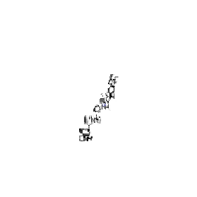 CCN(C)/C(=N\c1cccc(C(=O)NCCc2ccc(O)cc2)c1)Nc1nc2ccc(OC(F)(F)F)cc2s1